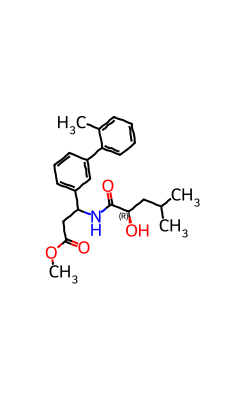 COC(=O)CC(NC(=O)[C@H](O)CC(C)C)c1cccc(-c2ccccc2C)c1